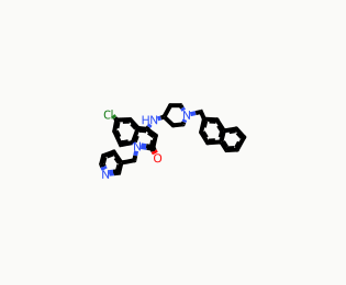 O=c1cc(NC2CCN(Cc3ccc4ccccc4c3)CC2)c2cc(Cl)ccc2n1Cc1cccnc1